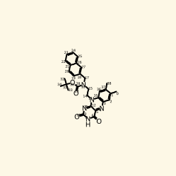 Cc1cc2nc3c(=O)[nH]c(=O)nc-3n(CCN(Cc3ccc4ccccc4c3)C(=O)OC(C)(C)C)c2cc1C